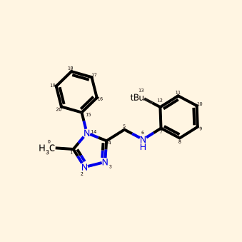 Cc1nnc(CNc2ccccc2C(C)(C)C)n1-c1ccccc1